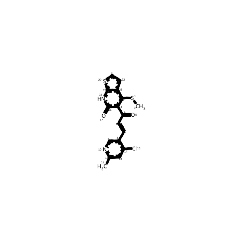 CSc1c(C(=O)/C=C/c2cnc(C)cc2Cl)c(=O)[nH]c2sccc12